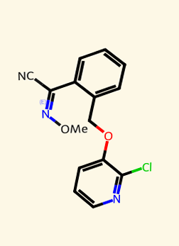 CO/N=C(/C#N)c1ccccc1COc1cccnc1Cl